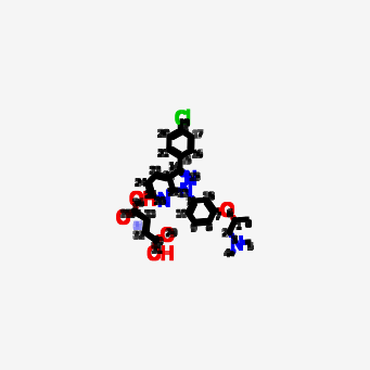 CC(CN(C)C)Oc1cccc(-n2nc(-c3ccc(Cl)cc3)c3cccnc32)c1.O=C(O)/C=C/C(=O)O